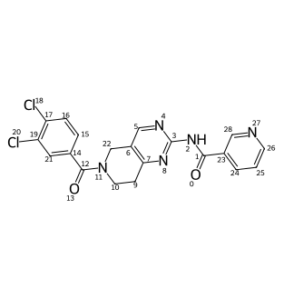 O=C(Nc1ncc2c(n1)CCN(C(=O)c1ccc(Cl)c(Cl)c1)C2)c1cccnc1